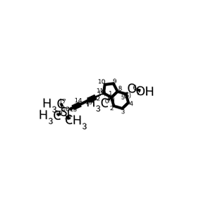 C[C@]12CCC[C@H](OO)C1CC[C@@H]2C#CC#C[Si](C)(C)C